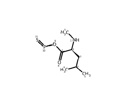 CN[C@@H](CC(C)C)C(=O)OP=S